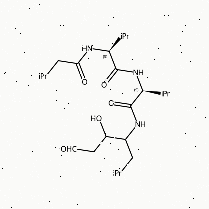 CC(C)CC(=O)N[C@H](C(=O)N[C@H](C(=O)NC(CC(C)C)C(O)C[C]=O)C(C)C)C(C)C